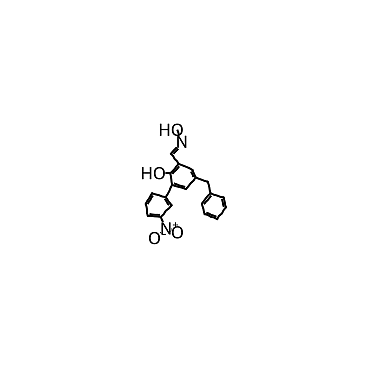 O=[N+]([O-])c1cccc(-c2cc(Cc3ccccc3)cc(/C=N/O)c2O)c1